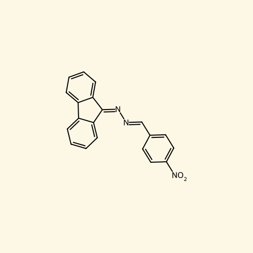 O=[N+]([O-])c1ccc(C=NN=C2c3ccccc3-c3ccccc32)cc1